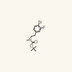 CN(CCc1ccc(Br)c(F)c1)C(=O)OC(C)(C)C